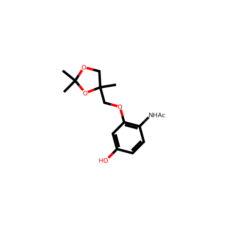 CC(=O)Nc1ccc(O)cc1OCC1(C)COC(C)(C)O1